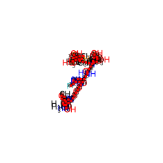 CC[PH]1=C(/C=C/C=C/C=C2/N(CCCCCC(=O)NCCCC[C@H](NC(=O)Cn3cc(CCCF)nn3)C(=O)NCCOCCOCCOCCn3cc(CN([C@@H](C(=O)NO)C(C)C)S(=O)(=O)c4ccc(OC)cc4)nn3)c3ccc4c(S(=O)(=O)O)cc(S(=O)(=O)O)cc4c3C2(C)C)C(C)(C)c2c1ccc1c(S(=O)(=O)O)cc(S(=O)(=O)O)cc21